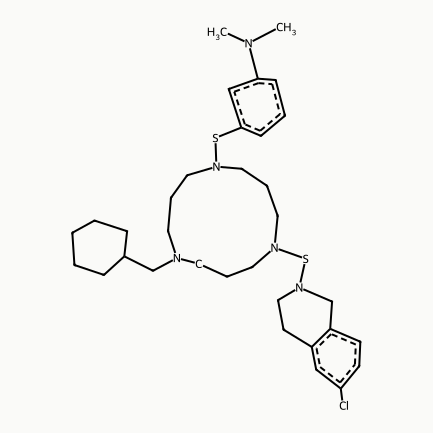 CN(C)c1cccc(SN2CCCN(CC3CCCCC3)CCCN(SN3CCc4cc(Cl)ccc4C3)CCC2)c1